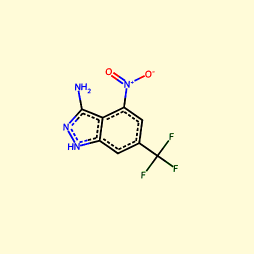 Nc1n[nH]c2cc(C(F)(F)F)cc([N+](=O)[O-])c12